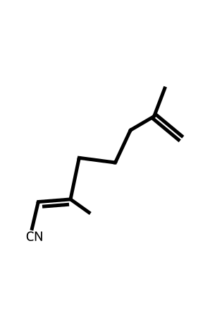 C=C(C)CCC/C(C)=C/C#N